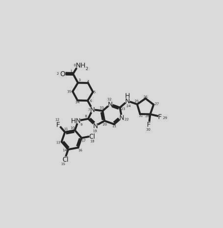 NC(=O)C1CCC(n2c(Nc3c(F)cc(Cl)cc3Cl)nc3cnc(NC4CCC(F)(F)C4)nc32)CC1